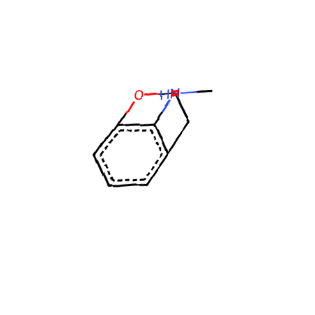 CNc1c2cccc1OCC2